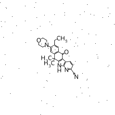 CCc1cc2c(cc1N1CCOCC1)C(C)(C)c1[nH]c3nc(C#N)ccc3c1C2=O